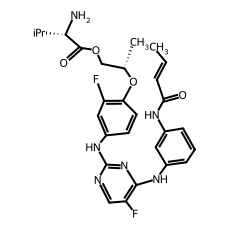 C/C=C/C(=O)Nc1cccc(Nc2nc(Nc3ccc(O[C@@H](C)COC(=O)[C@@H](N)C(C)C)c(F)c3)ncc2F)c1